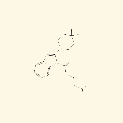 CC(C)CCNC(=O)n1c(N2CCC(F)(F)CC2)nc2ccccc21